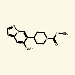 COc1cc2ncnn2cc1C1CCN(C(=O)OC(C)(C)C)CC1